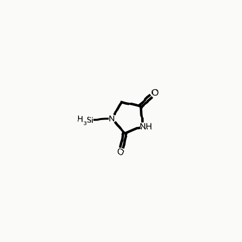 O=C1CN([SiH3])C(=O)N1